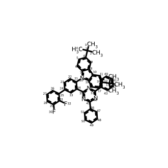 CC(C)(C)c1ccc2c(c1)c1cc(C(C)(C)C)ccc1n2-c1ccc(-c2cccc(F)c2F)cc1-c1nc(-c2ccccc2)nc(-c2ccccc2)n1